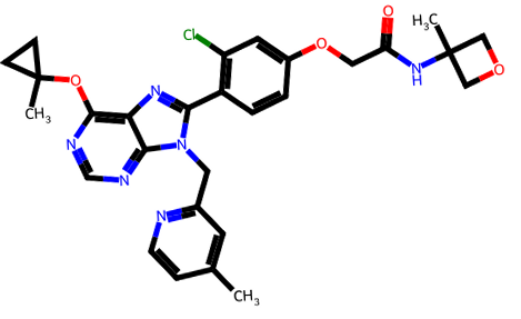 Cc1ccnc(Cn2c(-c3ccc(OCC(=O)NC4(C)COC4)cc3Cl)nc3c(OC4(C)CC4)ncnc32)c1